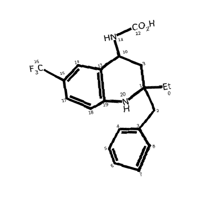 CCC1(Cc2ccccc2)CC(NC(=O)O)c2cc(C(F)(F)F)ccc2N1